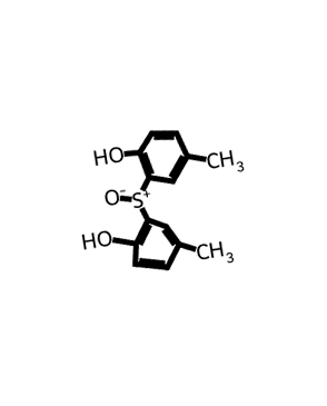 Cc1ccc(O)c([S+]([O-])c2cc(C)ccc2O)c1